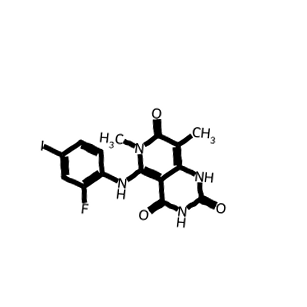 Cc1c(=O)n(C)c(Nc2ccc(I)cc2F)c2c(=O)[nH]c(=O)[nH]c12